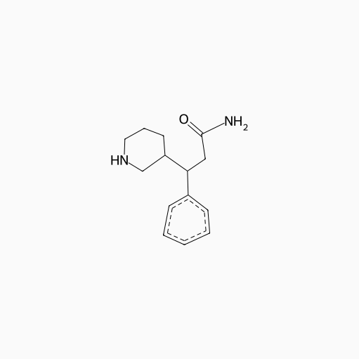 NC(=O)CC(c1ccccc1)C1CCCNC1